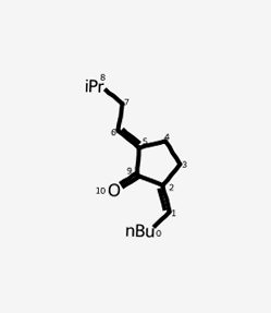 CCCCC=C1CCC(=CCC(C)C)C1=O